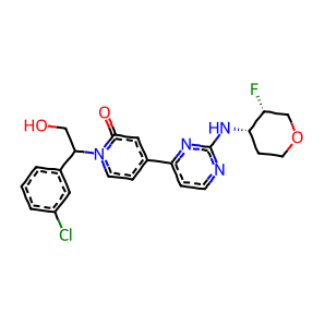 O=c1cc(-c2ccnc(N[C@H]3CCOC[C@H]3F)n2)ccn1C(CO)c1cccc(Cl)c1